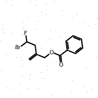 C=C(COC(=O)c1ccccc1)CC(F)Br